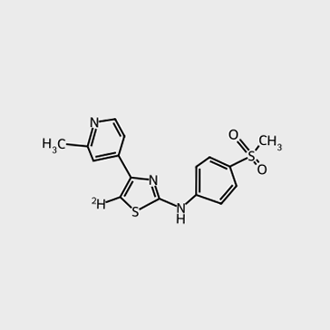 [2H]c1sc(Nc2ccc(S(C)(=O)=O)cc2)nc1-c1ccnc(C)c1